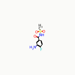 CS(=O)(=O)NC(=O)c1ccc(F)c(N)c1